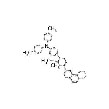 Cc1ccc(N(c2ccc(C)cc2)c2ccc3c(c2)C(C)(C)c2cc(-c4ccc5ccc6ccccc6c5c4)ccc2-3)cc1